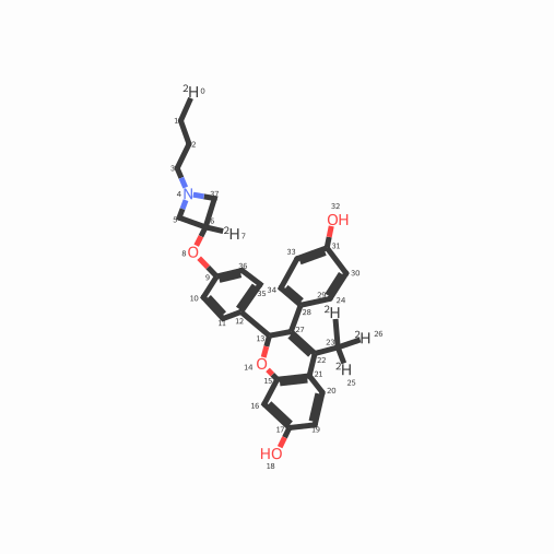 [2H]CCCN1CC([2H])(Oc2ccc(C3Oc4cc(O)ccc4C(C([2H])([2H])[2H])=C3c3ccc(O)cc3)cc2)C1